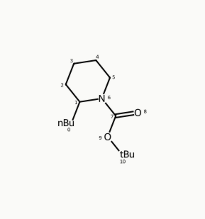 CCCCC1CCCCN1C(=O)OC(C)(C)C